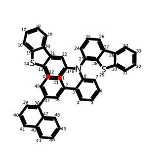 c1cc(-c2ccccc2N(c2ccc3sc4ccccc4c3c2)c2cccc3c2sc2ccccc23)cc(-c2cccc3ccccc23)c1